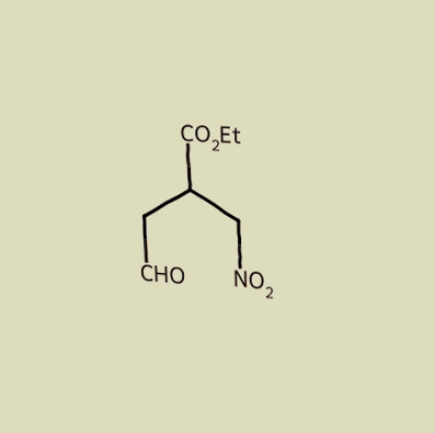 CCOC(=O)C(CC=O)C[N+](=O)[O-]